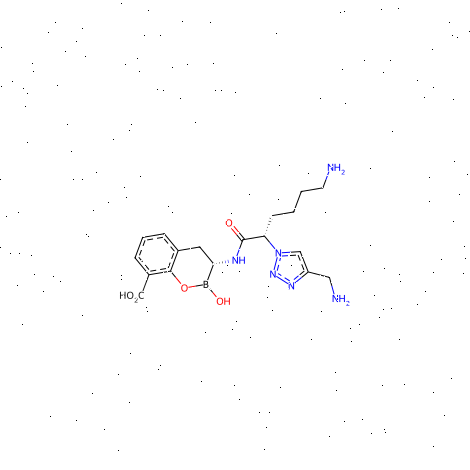 NCCCC[C@@H](C(=O)N[C@H]1Cc2cccc(C(=O)O)c2OB1O)n1cc(CN)nn1